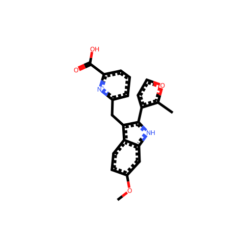 COc1ccc2c(Cc3cccc(C(=O)O)n3)c(-c3ccoc3C)[nH]c2c1